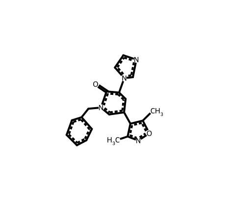 Cc1noc(C)c1-c1cc(-n2ccnc2)c(=O)n(Cc2ccccc2)c1